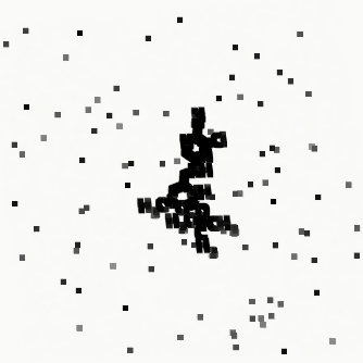 CSCC(CNc1cnc(C#N)c(Cl)n1)NC(=O)OC(C)(C)C